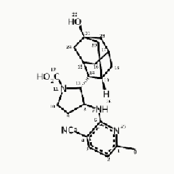 Cc1ccc(C#N)c(NC2CCN(C(=O)O)[C@@H]2C2C3CC4C[C@H]2C[C@@](O)(C4)C3)n1